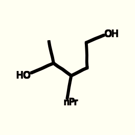 [CH2]CCC(CCO)C(C)O